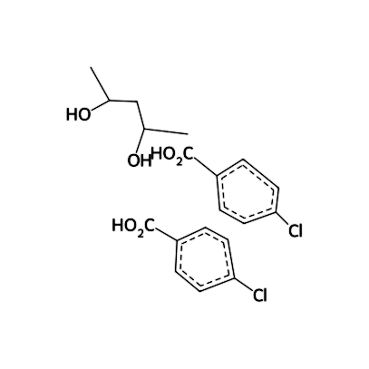 CC(O)CC(C)O.O=C(O)c1ccc(Cl)cc1.O=C(O)c1ccc(Cl)cc1